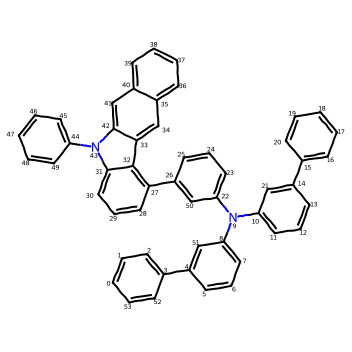 c1ccc(-c2cccc(N(c3cccc(-c4ccccc4)c3)c3cccc(-c4cccc5c4c4cc6ccccc6cc4n5-c4ccccc4)c3)c2)cc1